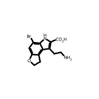 NCCc1c(C(=O)O)[nH]c2c(Br)cc3c(c12)CCO3